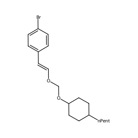 CCCCCC1CCC(OCOC=Cc2ccc(Br)cc2)CC1